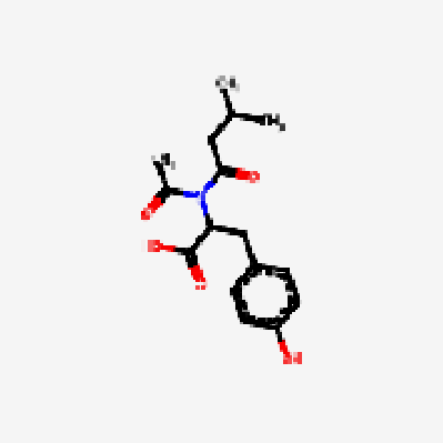 CC(=O)N(C(=O)CC(C)C)C(Cc1ccc(O)cc1)C(=O)O